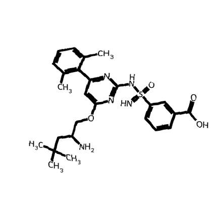 Cc1cccc(C)c1-c1cc(OCC(N)CC(C)(C)C)nc(NS(=N)(=O)c2cccc(C(=O)O)c2)n1